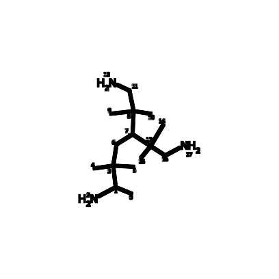 CC(N)C(C)(C)C[C](C(C)(C)CN)C(C)(C)CN